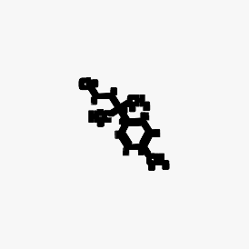 Cc1ccc(C(C)(C)CCCl)cc1